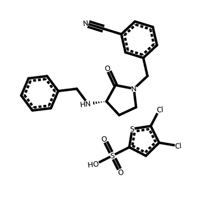 N#Cc1cccc(CN2CC[C@H](NCc3ccccc3)C2=O)c1.O=S(=O)(O)c1cc(Cl)c(Cl)s1